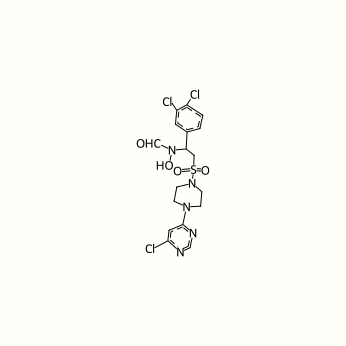 O=CN(O)C(CS(=O)(=O)N1CCN(c2cc(Cl)ncn2)CC1)c1ccc(Cl)c(Cl)c1